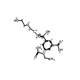 CCOC(C)=O.O=C(O)c1cccc(C(=O)O)c1.OCCOCCO